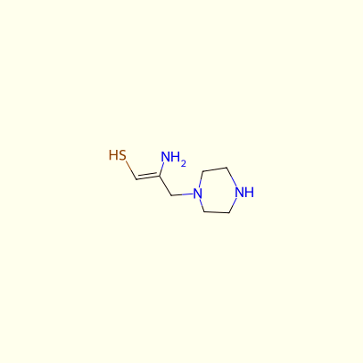 NC(=CS)CN1CCNCC1